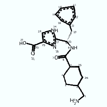 NCC1CCC(C(=O)N[C@@H](Cc2ccccc2)c2nc(C(=O)O)c[nH]2)CC1